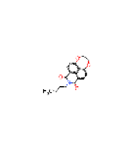 CCCCN1C(=O)c2ccc3c4c(ccc(c24)C1=O)OCCO3